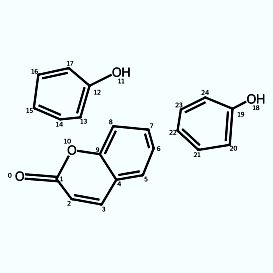 O=c1ccc2ccccc2o1.Oc1ccccc1.Oc1ccccc1